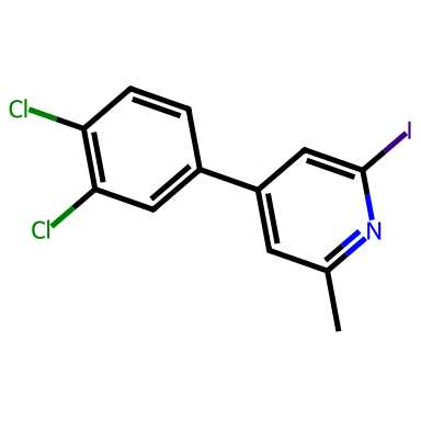 Cc1cc(-c2ccc(Cl)c(Cl)c2)cc(I)n1